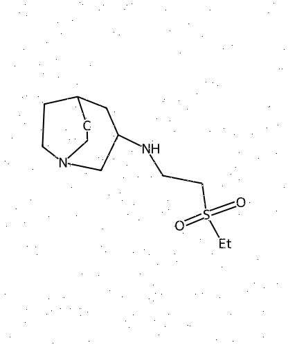 CCS(=O)(=O)CCNC1CC2CCN(CC2)C1